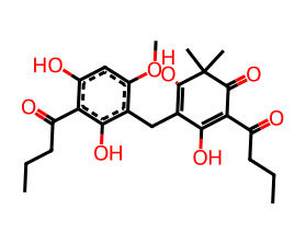 CCCC(=O)C1=C(O)C(Cc2c(OC)cc(O)c(C(=O)CCC)c2O)=C(O)C(C)(C)C1=O